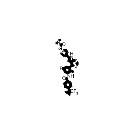 Cc1c(NC(=O)c2ccc(C3(C(F)(F)F)CC3)cc2)cc(F)cc1-c1ncnc2[nH]c(C3=CCN(OC(=O)N(C)C)CC3)cc12